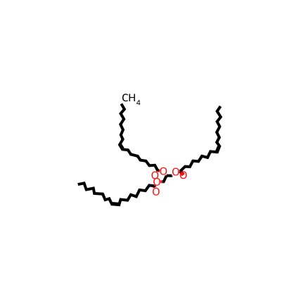 C.CCCCCCCC/C=C\CCCCCCCC(=O)OCC(COC(=O)CCCCCCC/C=C\CCCCCCCC)OC(=O)CCCCCCC/C=C\CCCCCCCC